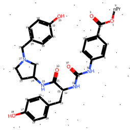 CCCOC(=O)c1ccc(NC(=O)N[C@@H](Cc2ccc(O)cc2)C(=O)NC2CCN(Cc3ccc(O)cc3)C2)cc1